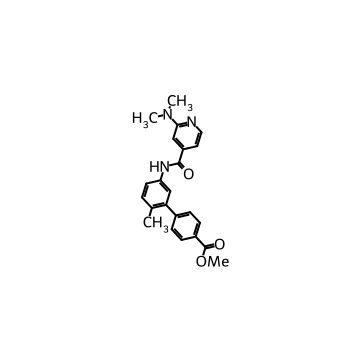 COC(=O)c1ccc(-c2cc(NC(=O)c3ccnc(N(C)C)c3)ccc2C)cc1